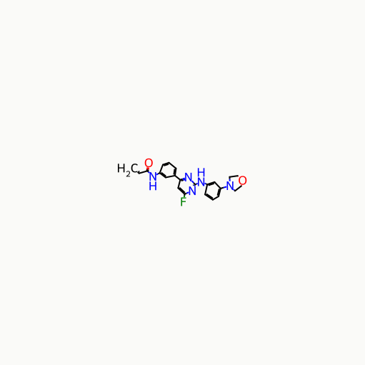 C=CC(=O)Nc1cccc(-c2cc(F)nc(Nc3cccc(N4CCOCC4)c3)n2)c1